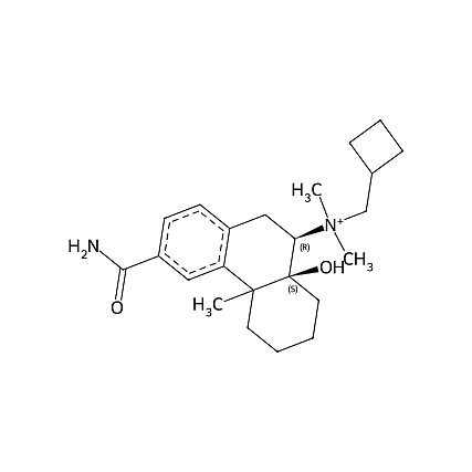 CC12CCCC[C@@]1(O)[C@H]([N+](C)(C)CC1CCC1)Cc1ccc(C(N)=O)cc12